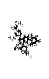 C=CC(=O)N1CCN(c2nc(=O)n(/C(C(C)=N)=C(/O)C(C)C)c3nc(-c4ccc(F)cc4F)c(Cl)cc23)C(C)C1